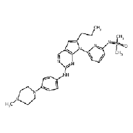 CCCc1cc2cnc(Nc3ccc(N4CCN(C)CC4)cc3)nc2n1-c1cccc(N=S(C)(C)=O)n1